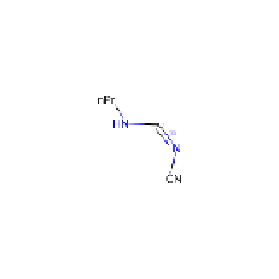 CCCN/[C]=N\C#N